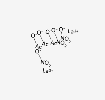 CC(=O)[O-].CC(=O)[O-].CC(=O)[O-].O=[N+]([O-])[O-].O=[N+]([O-])[O-].O=[N+]([O-])[O-].[La+3].[La+3]